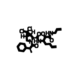 C=CCCC(NC(=O)[C@@H]1[C@@H]2[C@H](CN1C(=O)[C@@H](C)C1CCCCC1)C2(Cl)Cl)C(=O)C(=O)NCC=C